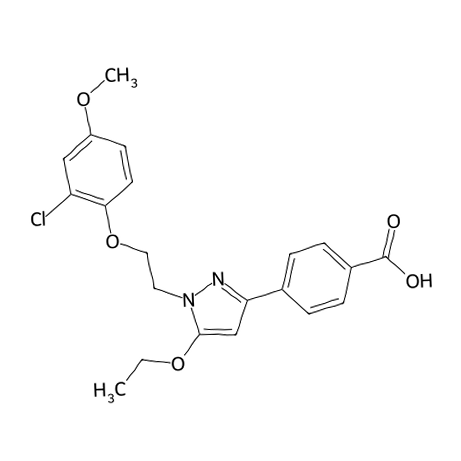 CCOc1cc(-c2ccc(C(=O)O)cc2)nn1CCOc1ccc(OC)cc1Cl